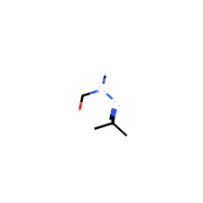 CCN(CO)N=C(C)C